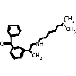 CC(CNCCCCCN(C)C)c1cccc(C(=O)c2ccccc2)c1